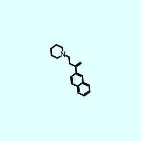 C=C(CCN1CCCCC1)c1ccc2ccccc2c1